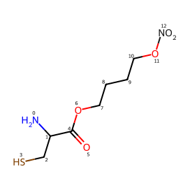 NC(CS)C(=O)OCCCCO[N+](=O)[O-]